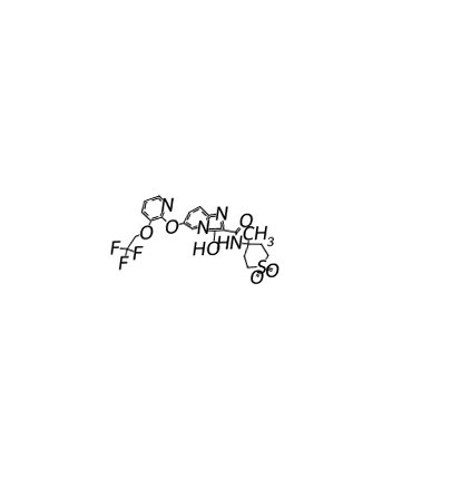 CC1(NC(=O)c2nc3ccc(Oc4ncccc4OCC(F)(F)F)cn3c2O)CCS(=O)(=O)CC1